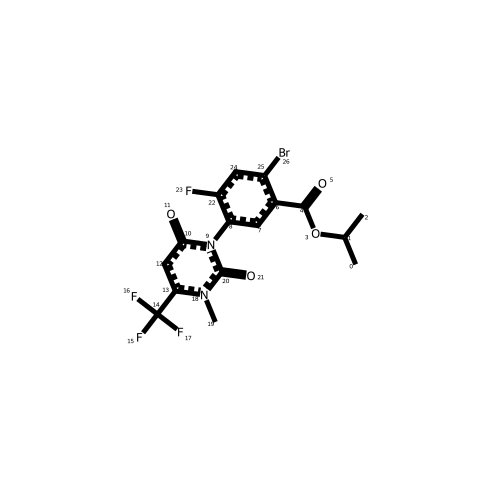 CC(C)OC(=O)c1cc(-n2c(=O)cc(C(F)(F)F)n(C)c2=O)c(F)cc1Br